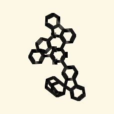 c1ccc(-c2nc(-c3ccc4c(c3)C3(c5ccccc5-4)C4CC5CC(C4)CC3C5)nc(-c3cccc4c5ccccc5n(-c5ccccc5)c34)n2)cc1